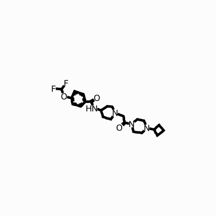 O=C(NC1CCN(CC(=O)N2CCN(C3CCC3)CC2)CC1)c1ccc(OC(F)F)cc1